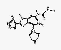 C=C(/N=C1\C(=C(/N)N2CCNCC2)N=C(c2nnn[nH]2)N1C)NC(=O)NCC